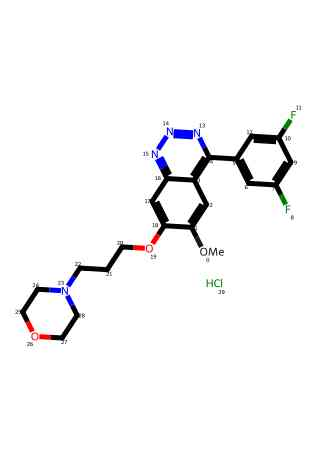 COc1cc2c(-c3cc(F)cc(F)c3)nnnc2cc1OCCCN1CCOCC1.Cl